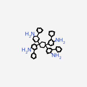 Nc1ccc(C2(C3=CC(c4ccccc4)C(N)C=C3)CCC(c3ccc(N)c(-c4ccccc4)c3)(c3ccc(N)c(-c4ccccc4)c3)CC2)cc1-c1ccccc1